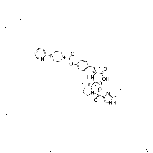 Cc1nc(S(=O)(=O)N2CCC[C@H]2C(=O)N[C@@H](Cc2ccc(OC(=O)N3CCN(c4ccccn4)CC3)cc2)C(=O)O)c[nH]1